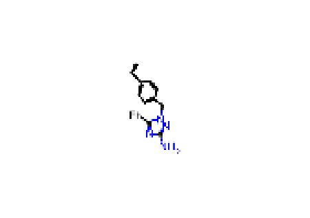 C=Cc1ccc(Cn2nc(N)nc2CC)cc1